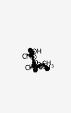 CC(COC(=O)Nc1cc2c(c3ccccc13)[C@H](CCl)CN2C(=O)CCCC(=O)N1C[C@@H](CCl)c2c1cc(O)c1ccccc21)SSc1ccccn1